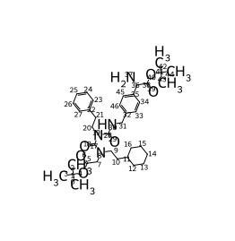 CC(C)(C)OC(=O)CN(CCC1CCCCC1)C(=O)N(CCc1ccccc1)C(=O)NCc1ccc([C@H](N)C(=O)OC(C)(C)C)cc1